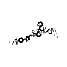 CC(C)C[C@@H](CO)NC(=O)c1c(-c2ccccn2)nc2c(C(=O)NCc3cnn(-c4ccc(S(C)(=O)=O)cc4)c3)cccn12